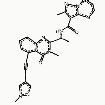 Cc1nn2cccnc2c1C(=O)NC(C)c1nc2cccc(C#Cc3cnn(C)c3)c2c(=O)n1C